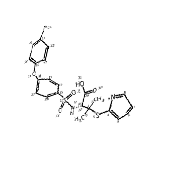 CC(C)(Sc1ccccn1)[C@H](NS(=O)(=O)c1ccc(Oc2ccc(F)cc2)cc1)C(=O)O